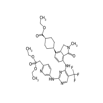 CCOC(=O)[C@H]1CC[C@@H](c2ccc(Nc3nc(Nc4ccc(CP(=O)(OCC)OCC)nc4)ncc3C(F)(F)F)c3c2CN(C)C3=O)CC1